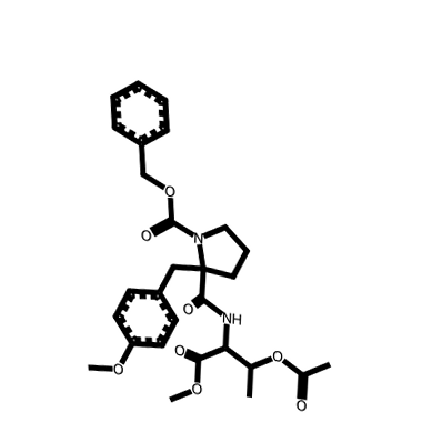 COC(=O)C(NC(=O)C1(Cc2ccc(OC)cc2)CCCN1C(=O)OCc1ccccc1)C(C)OC(C)=O